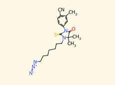 Cc1cc(N2C(=O)C(C)(C)N(CCCCCCCN=[N+]=[N-])C2=S)ccc1C#N